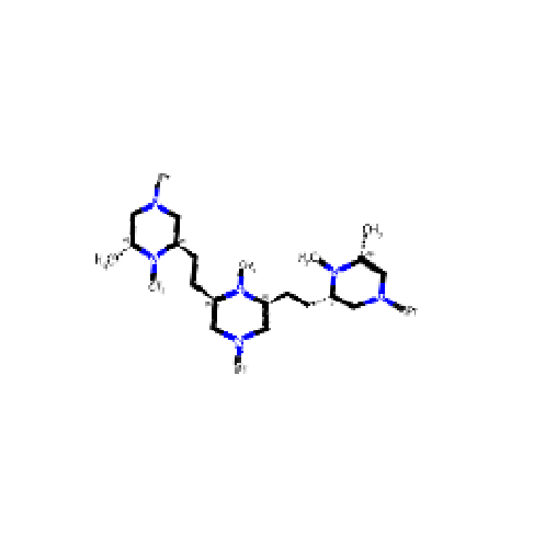 CC(C)N1C[C@@H](CC[C@@H]2CN(C(C)C)C[C@@H](C)N2C)N(C)[C@@H](CC[C@H]2CN(C(C)C)C[C@@H](C)N2C)C1